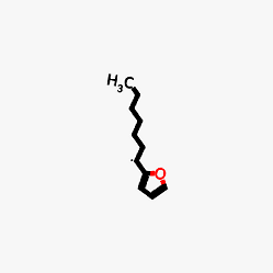 CCCCCC[CH]c1ccco1